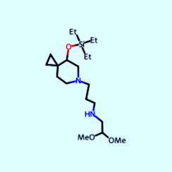 CC[Si](CC)(CC)OC1CN(CCCNCC(OC)OC)CCC12CC2